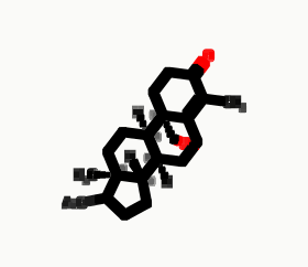 CC(=O)OC1CC[C@H]2[C@@H]3CCC4=C(C)C(=O)CC[C@]4(CO)[C@@H]3CC[C@]12C